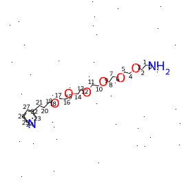 NCCOCCOCCOCCOCCOCCOCCCc1[c]nccc1